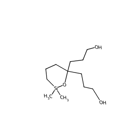 C[Si]1(C)CCCC(CCCO)(CCCO)O1